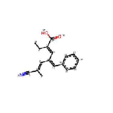 CCC(=CC(C=C(C)C#N)=Cc1ccccc1)C(=O)O